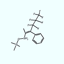 CC([SiH2]O[Si](C)(C)C)=C(c1ccccc1)C(F)(F)C(F)(F)C(F)(F)F